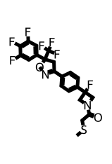 CSCC(=O)N1CC(F)(c2ccc(C3=NOC(c4cc(F)c(F)c(F)c4)(C(F)(F)F)C3)cc2)C1